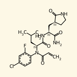 C=CC(=O)N(c1ccc(Cl)cc1F)[C@@H](CC(C)C)C(=O)N[C@@H](C[C@@H]1CCNC1=O)C(N)=O